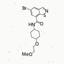 COCCOC1CCC(NC(=O)c2cc(Br)cc3cnsc23)CC1